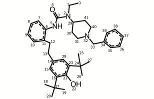 CCN(C(=O)Nc1ccccc1CCc1cc(C(C)(C)C)c(O)c(C(C)(C)C)c1)C1CCN(Cc2ccccc2)CC1